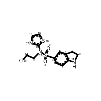 O=S(=O)(c1ccc2c(c1)CCN2)N(CCCl)c1nccs1